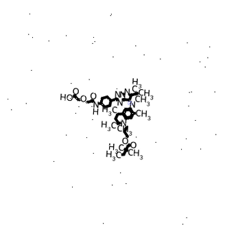 CCC(C)(C)C(=O)OCCCN1c2cc(C)c(/N=C3/C(C(C)(C)C)=Nn4nc(C5CCC(NC(=O)COCC(=O)O)CC5)nc43)cc2C(C)CC1(C)C